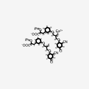 CC(C)OC(Cc1cccc(OCC(F)COc2ccc(Cl)cc2C#N)c1)C(=O)[O-].CC(C)OC(Cc1cccc(OCC(F)COc2ccc(Cl)cc2C#N)c1)C(=O)[O-].[Ca+2]